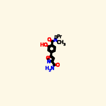 CCCN(C)C(=O)c1ccc(-c2cc(C(N)=O)no2)cc1O